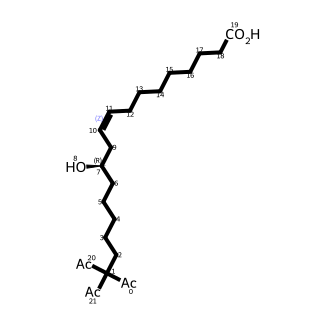 CC(=O)C(CCCCC[C@@H](O)C/C=C\CCCCCCCC(=O)O)(C(C)=O)C(C)=O